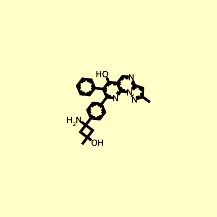 Cc1cc2ncc3c(O)c(-c4ccccc4)c(-c4ccc(C5(N)CC(C)(O)C5)cc4)nc3n2n1